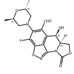 C[C@@H]1CN(c2c(C=O)c3c4c(noc4c2F)N2C(=O)OC[C@@H]2[C@@H]3O)C[C@@H](C)O1